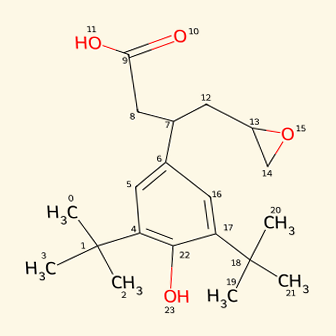 CC(C)(C)c1cc(C(CC(=O)O)CC2CO2)cc(C(C)(C)C)c1O